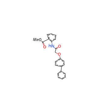 COC(=O)c1ccccc1NC(=O)COc1ccc(-c2ccccc2)cc1